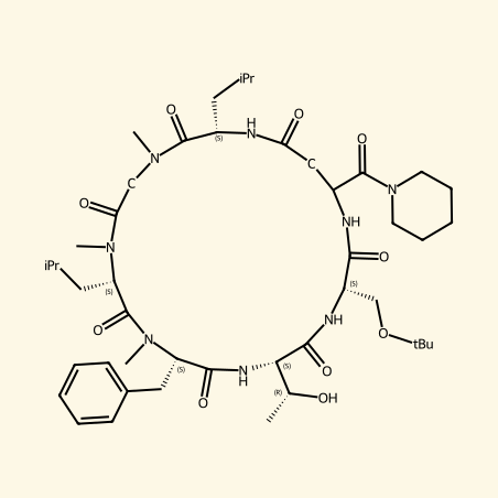 CC(C)C[C@@H]1NC(=O)CC(C(=O)N2CCCCC2)NC(=O)[C@H](COC(C)(C)C)NC(=O)[C@H]([C@@H](C)O)NC(=O)[C@H](Cc2ccccc2)N(C)C(=O)[C@H](CC(C)C)N(C)C(=O)CN(C)C1=O